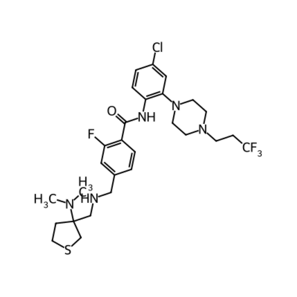 CN(C)C1(CNCc2ccc(C(=O)Nc3ccc(Cl)cc3N3CCN(CCC(F)(F)F)CC3)c(F)c2)CCSC1